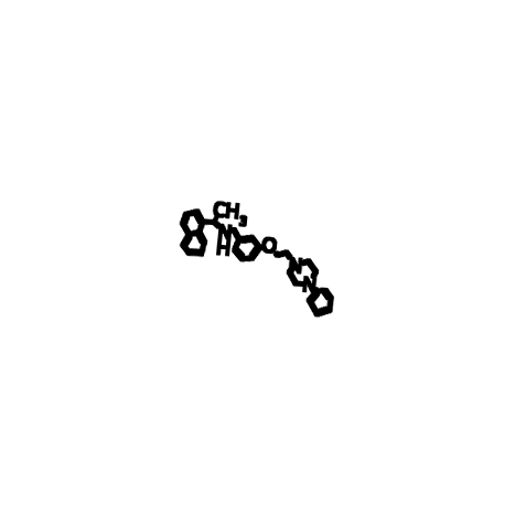 C[C@@H](NCc1cccc(OCCN2CCN(c3ccccc3)CC2)c1)c1cccc2ccccc12